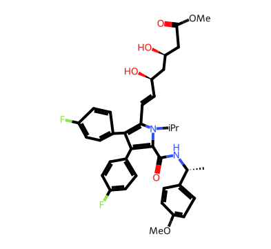 COC(=O)C[C@H](O)C[C@H](O)/C=C/c1c(-c2ccc(F)cc2)c(-c2ccc(F)cc2)c(C(=O)N[C@H](C)c2ccc(OC)cc2)n1C(C)C